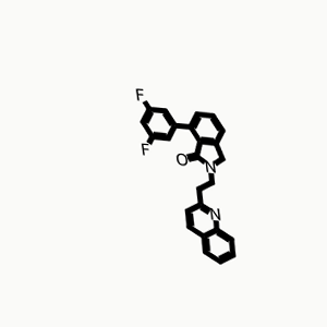 O=C1c2c(cccc2-c2cc(F)cc(F)c2)CN1CCc1ccc2ccccc2n1